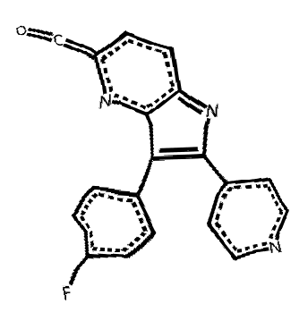 O=C=c1ccc2c(n1)C(c1ccc(F)cc1)=C(c1ccncc1)N=2